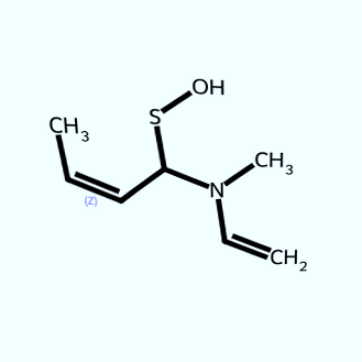 C=CN(C)C(/C=C\C)SO